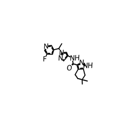 CC(c1cncc(F)c1)n1cc(NC(=O)c2n[nH]c3c2CCC(C)(C)C3)cn1